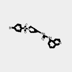 O=C(Nc1cccc2cnccc12)NC1C2CN(S(=O)(=O)c3ccc(Br)cc3)CC21